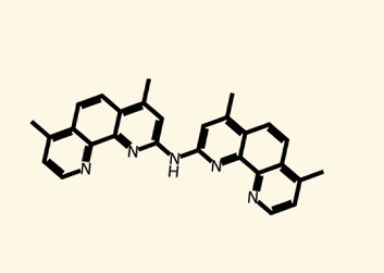 Cc1ccnc2c1ccc1c(C)cc(Nc3cc(C)c4ccc5c(C)ccnc5c4n3)nc12